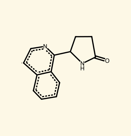 O=C1CCC(c2nc[c]c3ccccc23)N1